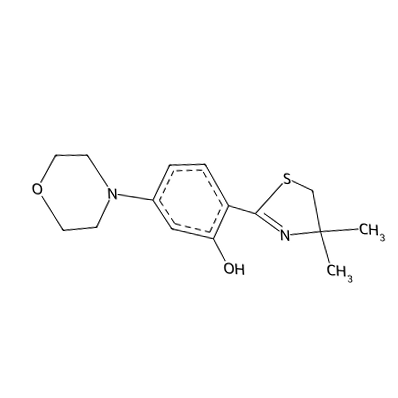 CC1(C)CSC(c2ccc(N3CCOCC3)cc2O)=N1